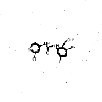 O=C(Nc1ccnc(Cl)c1)Nc1cc(F)cc(F)c1CO